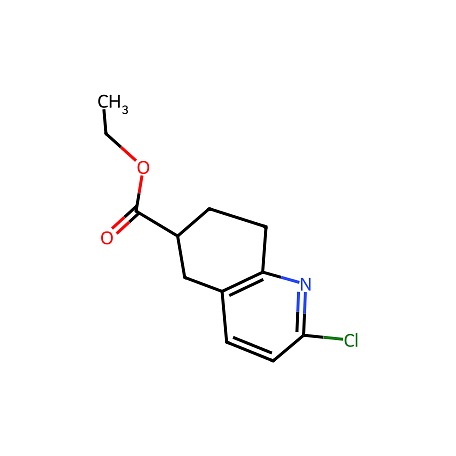 CCOC(=O)C1CCc2nc(Cl)ccc2C1